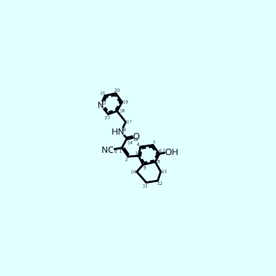 N#CC(=Cc1ccc(O)c2c1CCCC2)C(=O)NCc1cccnc1